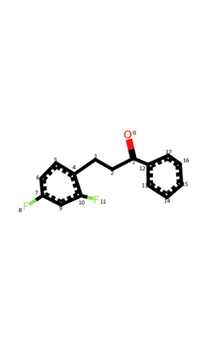 O=C(CCc1ccc(F)cc1F)c1ccccc1